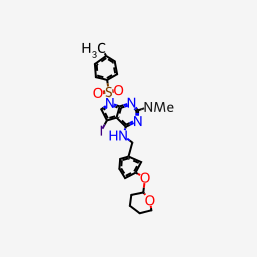 CNc1nc(NCc2cccc(OC3CCCCO3)c2)c2c(I)cn(S(=O)(=O)c3ccc(C)cc3)c2n1